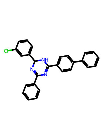 Clc1cccc(C2N=C(c3ccccc3)N=C(c3ccc(-c4ccccc4)cc3)N2)c1